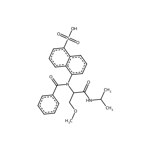 COCC(C(=O)NC(C)C)N(C(=O)c1ccccc1)c1cccc2c(S(=O)(=O)O)cccc12